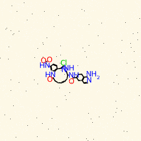 COC(=O)Nc1ccc2c(c1)NC(=O)CCC=CCC(NC(=O)C1CCc3c(ccnc3N)C1)c1nc-2c(Cl)[nH]1